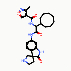 Cc1nocc1C(=O)NC(C(=O)Nc1ccc2c(c1)NC(=O)C21CCNC1)C1CCCCCCC1